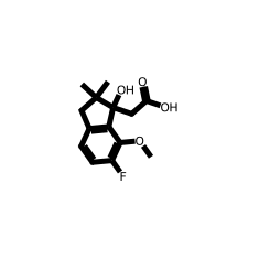 COc1c(F)ccc2c1C(O)(CC(=O)O)C(C)(C)C2